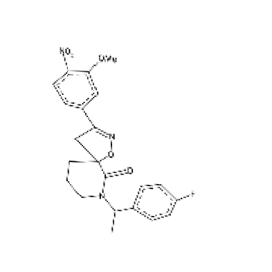 COc1cc(C2=NOC3(CCCN(C(C)c4ccc(F)cc4)C3=O)C2)ccc1[N+](=O)[O-]